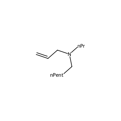 C=CCN(CCC)CCCCCC